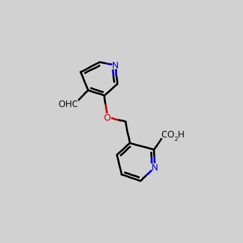 O=Cc1ccncc1OCc1cccnc1C(=O)O